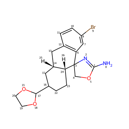 NC1=NC2(CO1)c1cc(Br)ccc1C[C@H]1CC(C3OCCO3)CC[C@H]12